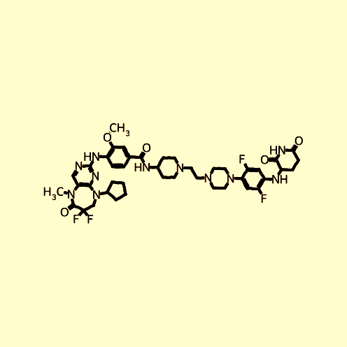 COc1cc(C(=O)NC2CCN(CCN3CCN(c4cc(F)c(NC5CCC(=O)NC5=O)cc4F)CC3)CC2)ccc1Nc1ncc2c(n1)N(C1CCCC1)CC(F)(F)C(=O)N2C